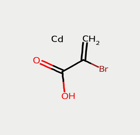 C=C(Br)C(=O)O.[Cd]